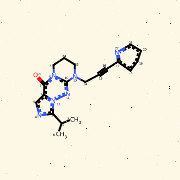 CC(C)c1ncc2c(=O)n3c(nn12)N(CC#Cc1ccccn1)CCC3